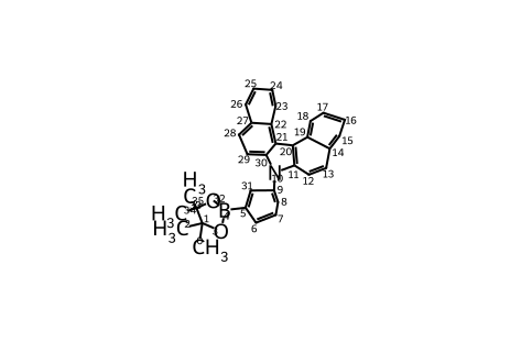 CC1(C)OB(c2cccc(-n3c4ccc5ccccc5c4c4c5ccccc5ccc43)c2)OC1(C)C